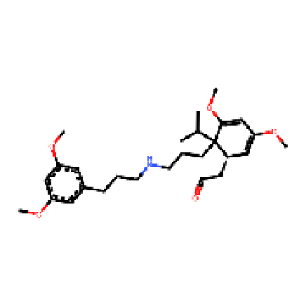 COC1=C[C@@H](CC=O)C(CCCNCCCc2cc(OC)cc(OC)c2)(C(C)C)C(OC)=C1